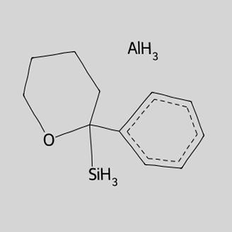 [AlH3].[SiH3]C1(c2ccccc2)CCCCO1